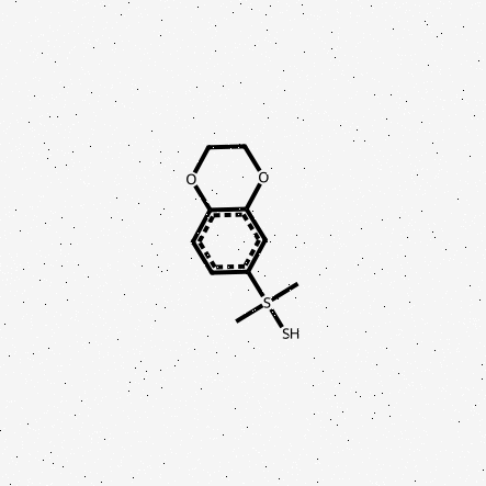 CS(C)(S)c1ccc2c(c1)OCCO2